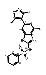 Cc1noc(C)c1-c1cc(C)c2nc(NS(=O)(=O)c3ccccc3)[nH]c2c1